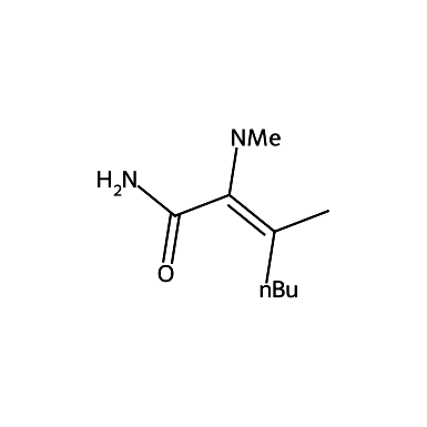 CCCCC(C)=C(NC)C(N)=O